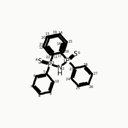 S=P(NP(=S)(c1ccccc1)c1ccccc1)(c1ccccc1)c1ccccc1